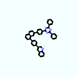 c1ccc(-c2nc(-c3ccccc3)nc(-c3ccc(-c4ccc5cccc(-c6ccc(-c7cnc8ccccc8c7)cc6)c5c4)cc3)n2)cc1